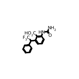 NC(=O)Nc1cccc(C(c2ccccc2)C(F)(F)F)c1C(=O)O